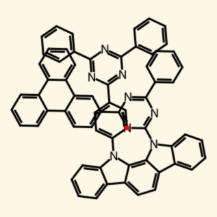 c1ccc(-c2nc(-c3ccccc3)nc(-c3ccc(-n4c5ccccc5c5ccc6c7ccccc7n(-c7nc(-c8ccccc8)nc(-c8ccc9c%10ccccc%10c%10ccccc%10c9c8)n7)c6c54)cc3)n2)cc1